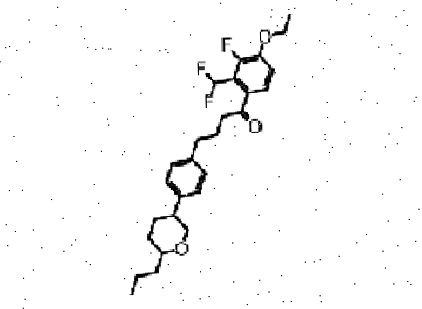 CCCC1CCC(c2ccc(CCCC(=O)c3ccc(OCC)c(F)c3C(F)F)cc2)CO1